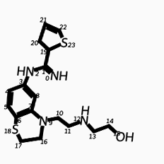 N=C(Nc1ccc2c(c1)N(CCNCCO)CCS2)C1CC=CS1